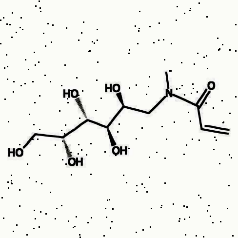 C=CC(=O)N(C)C[C@H](O)[C@@H](O)[C@@H](O)[C@H](O)CO